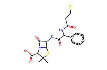 CC1(C)SC2C(NC(=O)C(NC(=O)CCS)c3ccccc3)C(=O)N2C1C(=O)O